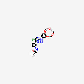 C=CC(=O)Nc1cccc(-c2nc(Nc3ccc4c(c3)OCCOCCOCCO4)ncc2F)c1